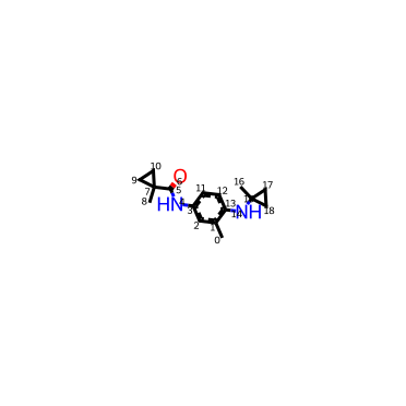 Cc1cc(NC(=O)C2(C)CC2)ccc1NC1(C)CC1